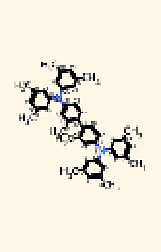 Cc1cc(C)cc(N(c2cc(C)cc(C)c2)c2ccc(-c3ccc(N(c4cc(C)cc(C)c4)c4cc(C)cc(C)c4)cc3C)c(C)c2)c1